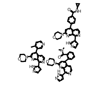 CN(C)C(=O)c1ccccc1-c1cc(N2CCOCC2)nc2c(-c3ccn[nH]3)nccc12.Cc1ccncc1-c1cc(N2CCOCC2)nc2c(-c3ccn[nH]3)nccc12.O=C(NC1CC1)c1ccc(-c2cc(N3CCOCC3)nc3c(-c4ccn[nH]4)nccc23)cc1